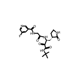 CC(C)(C)NC(=O)C(=O)[C@H](C[C@@H]1CCNC1=O)NC(=O)CNC(=O)c1cncc(F)c1